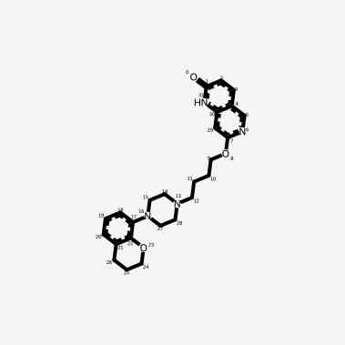 O=c1ccc2cnc(OCCCCN3CCN(c4cccc5c4OCCC5)CC3)cc2[nH]1